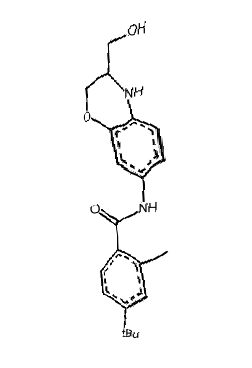 Cc1cc(C(C)(C)C)ccc1C(=O)Nc1ccc2c(c1)OCC(CO)N2